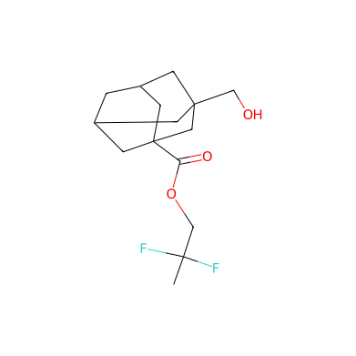 CC(F)(F)COC(=O)C12CC3CC(CC(CO)(C3)C1)C2